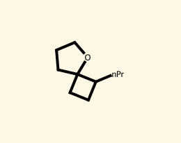 CCCC1CCC12CCCO2